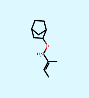 C/C=C(\C)[SiH2]OC1CC2CCC1C2